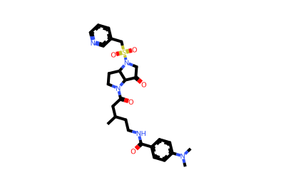 CC(CCNC(=O)c1ccc(N(C)C)cc1)CC(=O)N1CCC2C1C(=O)CN2S(=O)(=O)Cc1cccnc1